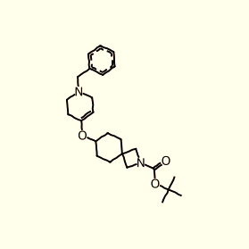 CC(C)(C)OC(=O)N1CC2(CCC(OC3=CCN(Cc4ccccc4)CC3)CC2)C1